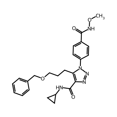 CONC(=O)c1ccc(-n2nnc(C(=O)NC3CC3)c2CCCOCc2ccccc2)cc1